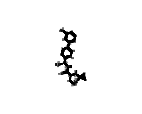 CC(=O)c1cccc(-c2ccc([C@H](NC(=O)[C@H](CC(C)C)NC3(C#N)CC3)C(F)(F)F)nc2)c1